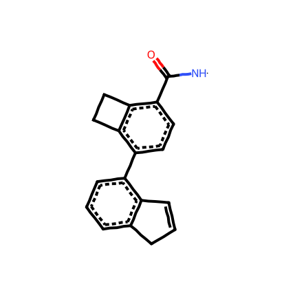 [NH]C(=O)c1ccc(-c2cccc3c2C=CC3)c2c1CC2